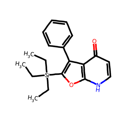 CC[Si](CC)(CC)c1oc2[nH]ccc(=O)c2c1-c1ccccc1